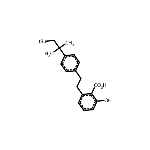 CC(C)(C)CC(C)(C)c1ccc(CCc2cccc(O)c2C(=O)O)cc1